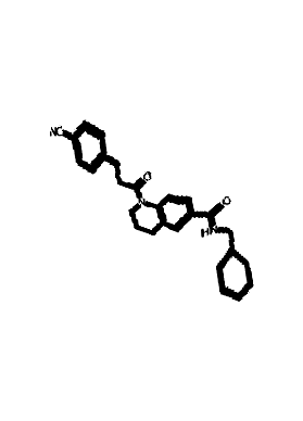 N#Cc1ccc(CCC(=O)N2CCCc3cc(C(=O)NCC4CCCCC4)ccc32)cc1